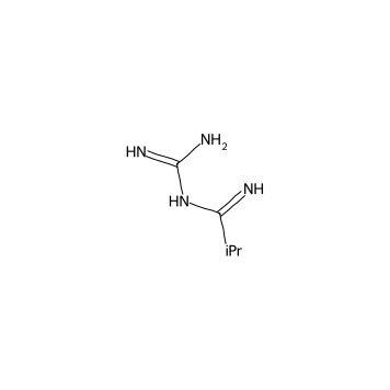 CC(C)C(=N)NC(=N)N